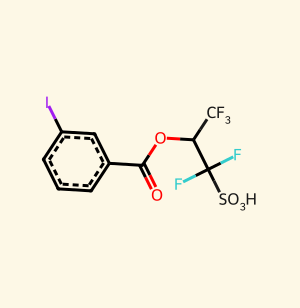 O=C(OC(C(F)(F)F)C(F)(F)S(=O)(=O)O)c1cccc(I)c1